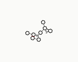 c1ccc(-c2ccc(N(c3ccc(-c4cc(-c5ccccc5)cc5c4sc4ccccc45)cc3)c3ccccc3-c3ccccc3)cc2)cc1